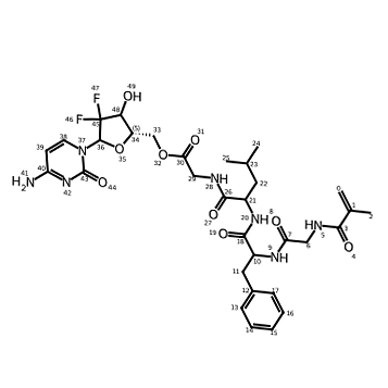 C=C(C)C(=O)NCC(=O)NC(Cc1ccccc1)C(=O)NC(CC(C)C)C(=O)NCC(=O)OC[C@@H]1OC(n2ccc(N)nc2=O)C(F)(F)C1O